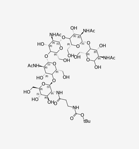 CC(=O)N[C@H]1[C@H](OC2[C@@H](CO)O[C@@H](OC3[C@@H](CO)O[C@@H](OC4[C@@H](CO)OC(O)[C@H](NC(C)=O)[C@H]4O)[C@H](NC(C)=O)[C@H]3O)[C@H](NC(C)=O)[C@H]2O)O[C@H](CO)C(O[C@@H]2O[C@H](CO)[C@@H](O)[C@H](O)[C@H]2NC(=O)CCNC(=O)OC(C)(C)C)[C@@H]1O